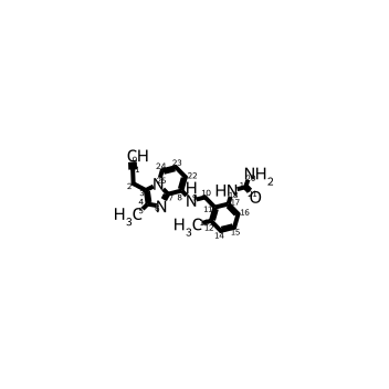 C#CCc1c(C)nc2c(NCc3c(C)cccc3NC(N)=O)cccn12